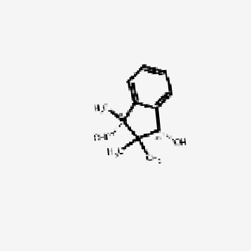 CC1(C)[C@@H](O)c2ccccc2[C@@]1(C)C=O